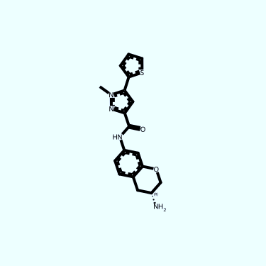 Cn1nc(C(=O)Nc2ccc3c(c2)OC[C@H](N)C3)cc1-c1cccs1